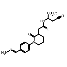 C#CCC(NC(=O)CC1CCCN(c2ccc(C=NN)cc2)C1=O)C(=O)OCC